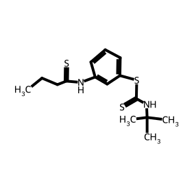 CCCC(=S)Nc1cccc(SC(=S)NC(C)(C)C)c1